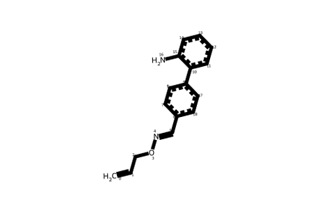 C=CCON=Cc1ccc(-c2ccccc2N)cc1